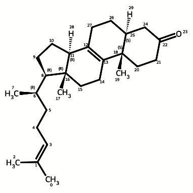 CC(C)=CCC[C@@H](C)[C@H]1CC[C@H]2C3=C(CC[C@]12C)[C@@]1(C)CCC(=O)C[C@@H]1CC3